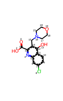 O=C(O)c1nc2cc(Cl)ccc2c(O)c1CN1CCOCC1